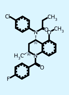 CCC(=O)N(c1ccc(Cl)cc1)[C@H]1C[C@@H](C)N(C(=O)c2ccc(F)cc2)c2cccc(OC)c21